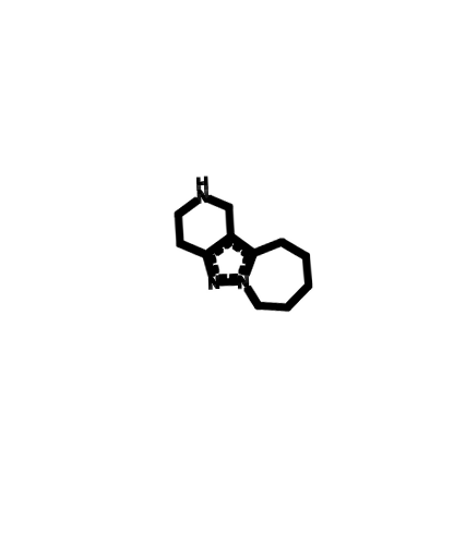 C1CCc2c3c(nn2CC1)CCNC3